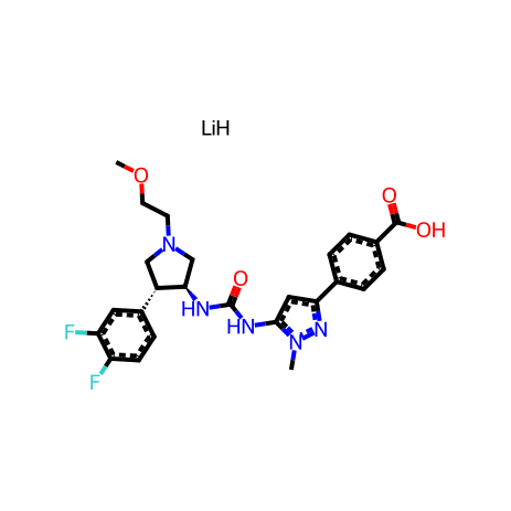 COCCN1C[C@@H](NC(=O)Nc2cc(-c3ccc(C(=O)O)cc3)nn2C)[C@H](c2ccc(F)c(F)c2)C1.[LiH]